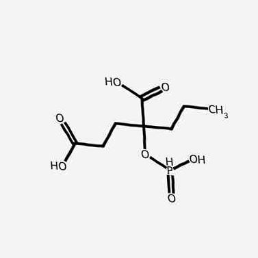 CCCC(CCC(=O)O)(O[PH](=O)O)C(=O)O